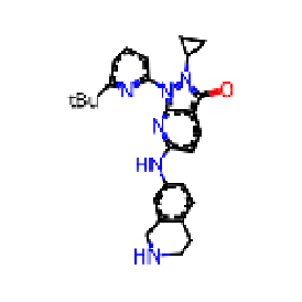 CC(C)(C)c1cccc(-n2c3nc(Nc4ccc5c(c4)CNCC5)ccc3c(=O)n2C2CC2)n1